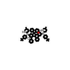 CC1=CC=C(N(c2ccc(C(C)(C)C)cc2)c2ccc3c4c(c5ccccc5c3c2)-c2c(cc(N(C3=CC=C(C)CN3)c3ccc(C(C)(C)C)cc3)c3oc5ccccc5c23)C4(c2ccccc2)c2ccccc2)NC1